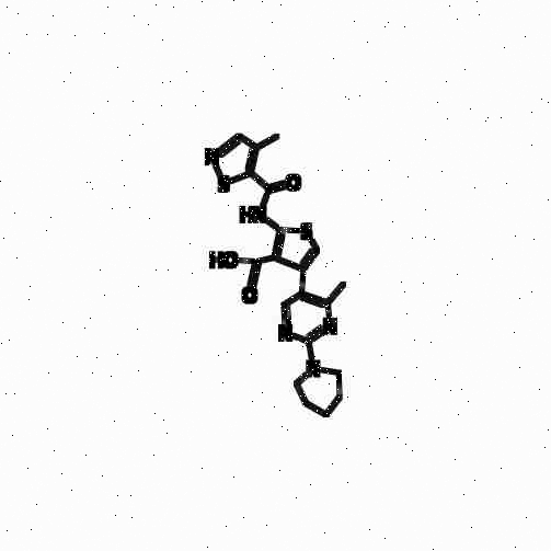 Cc1cnsc1C(=O)Nc1scc(-c2cnc(N3CCCCC3)nc2C)c1C(=O)O